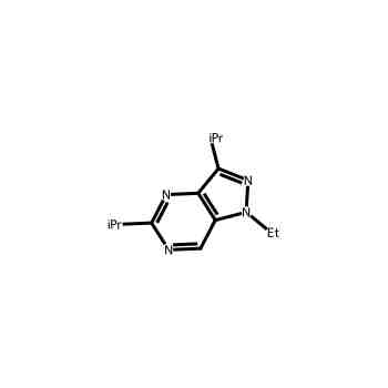 CCn1nc(C(C)C)c2nc(C(C)C)ncc21